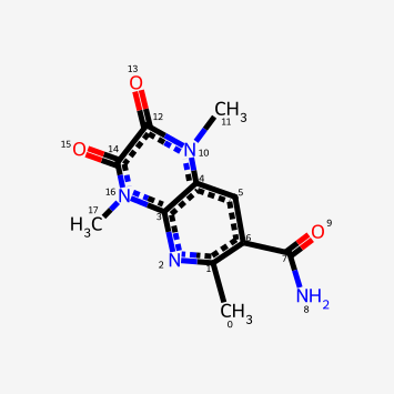 Cc1nc2c(cc1C(N)=O)n(C)c(=O)c(=O)n2C